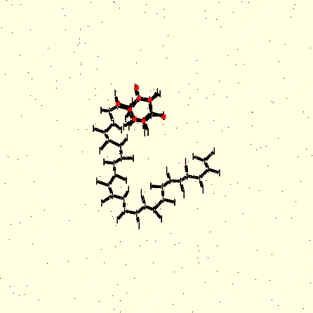 II(I)I(I)I(I)I(I)I(I)I(I)I(I)I(I)I(I)I(I)I(I)I(I)I(I)I(I)I(I)I(I)I(I)I(I)I(I)I(I)I(I)I(I)I(I)I(I)I(I)I(I)I(I)I(I)I(I)I(I)I(I)I(I)I(I)I(I)I(I)I(I)I(I)I